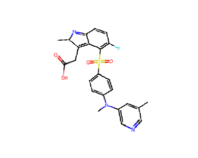 Cc1cncc(N(C)c2ccc(S(=O)(=O)c3c(F)ccc4c3=C(CC(=O)O)C(C)N=4)cc2)c1